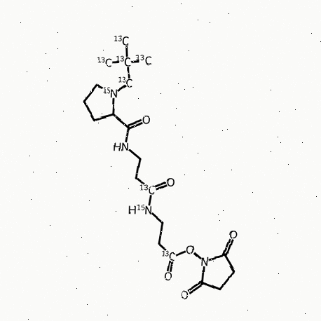 [13CH3][13C]([13CH3])([13CH3])[13CH2][15N]1CCCC1C(=O)NCC[13C](=O)[15NH]CC[13C](=O)ON1C(=O)CCC1=O